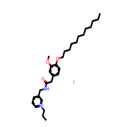 CCCCCCCCCCCCOc1ccc(CC(=O)NCc2ccc[n+](CCC)c2)cc1OC.[I-]